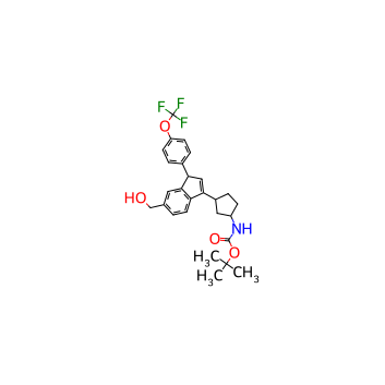 CC(C)(C)OC(=O)NC1CCC(C2=CC(c3ccc(OC(F)(F)F)cc3)c3cc(CO)ccc32)C1